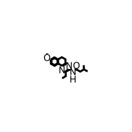 CCc1nc2c(nc1NC(=O)CC(C)C)CCc1cc(OC)ccc1-2